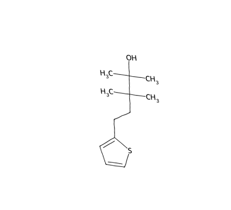 CC(C)(O)C(C)(C)CCc1cccs1